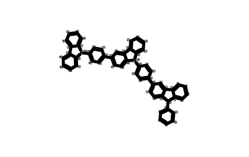 c1ccc(C2c3ccccc3-c3cc(-c4ccc(-n5c6ccccc6c6cc(-c7ccc(-n8c9ccccc9c9ccccc98)cc7)ccc65)cc4)ccc32)cc1